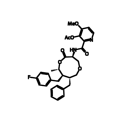 COc1ccnc(C(=O)N[C@H]2COC[C@H](Cc3ccccc3)[C@@H](Cc3ccc(F)cc3)[C@H](C)OC2=O)c1OC(C)=O